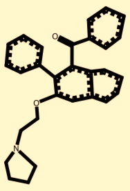 O=C(c1ccccc1)c1c(-c2ccccc2)c(OCCN2CCCC2)cc2ccccc12